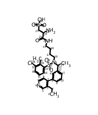 CCc1cnccc1-c1cccc(C(C)N(CCCCNC(=O)C(N)CS(=O)(=O)O)S(=O)(=O)c2cccc(Cl)c2C)c1